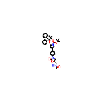 CC(=O)NC[C@H]1CN(c2ccc(C3=C[C@@H](CO[Si](c4ccccc4)(c4ccccc4)C(C)(C)C)N(C(=O)OC(C)(C)C)C3)cc2)C(=O)O1